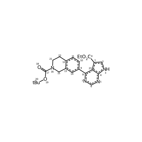 CCOC(=O)c1c[nH]c2ncnc(-c3ccc4c(c3)CN(C(=O)OC(C)(C)C)CC4)c12